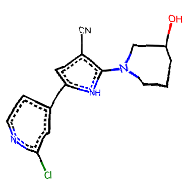 N#Cc1cc(-c2ccnc(Cl)c2)[nH]c1N1CCCC(O)C1